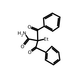 CCC(C(N)=O)(C(=O)c1ccccc1)C(=O)c1ccccc1